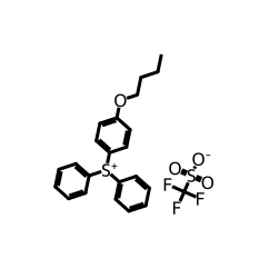 CCCCOc1ccc([S+](c2ccccc2)c2ccccc2)cc1.O=S(=O)([O-])C(F)(F)F